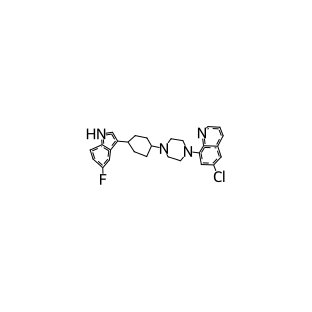 Fc1ccc2[nH]cc(C3CCC(N4CCN(c5cc(Cl)cc6cccnc56)CC4)CC3)c2c1